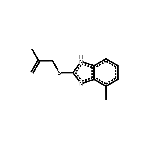 C=C(C)CSc1nc2c(C)cccc2[nH]1